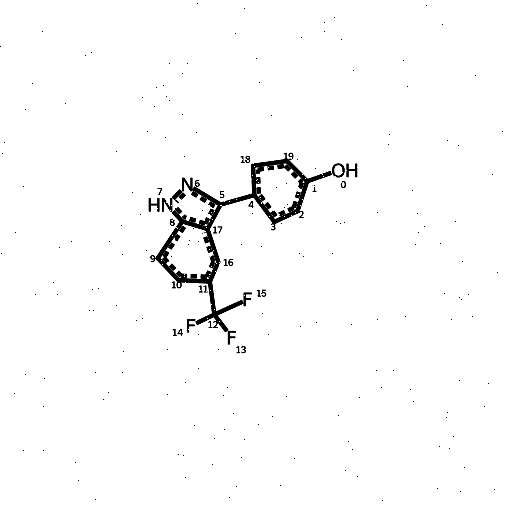 Oc1ccc(-c2n[nH]c3ccc(C(F)(F)F)cc23)cc1